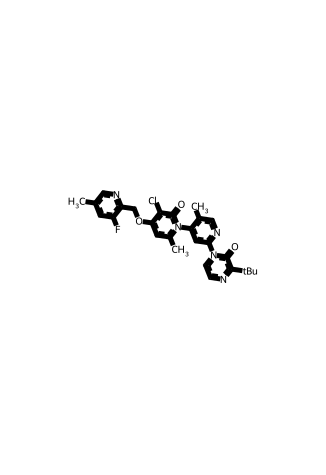 Cc1cnc(COc2cc(C)n(-c3cc(-n4ccnc(C(C)(C)C)c4=O)ncc3C)c(=O)c2Cl)c(F)c1